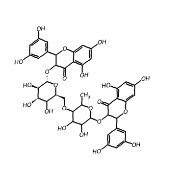 CC1OC(OC2C(=O)c3c(O)cc(O)cc3OC2c2cc(O)cc(O)c2)C(O)C(O)C1OC[C@@H]1O[C@@H](OC2C(=O)c3c(O)cc(O)cc3OC2c2cc(O)cc(O)c2)[C@H](O)[C@H](O)C1O